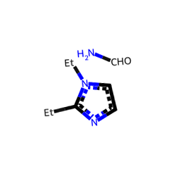 CCc1nccn1CC.NC=O